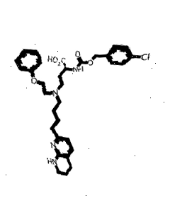 O=C(N[C@@H](CCN(CCCCc1ccc2c(n1)NCCC2)CCOc1ccccc1)C(=O)O)OCc1ccc(Cl)cc1